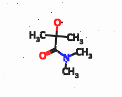 CN(C)C(=O)C(C)(C)[O]